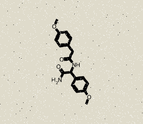 COc1ccc(CC(=O)NC(C(N)=O)c2ccc(OC)cc2)cc1